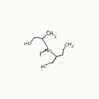 [CH2]C(CO)CF.[CH2]CC(O)CO